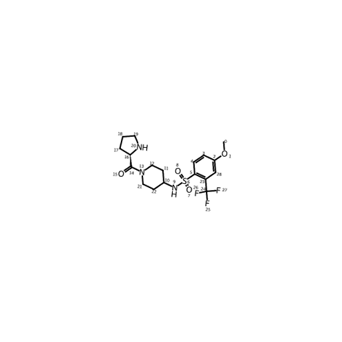 COc1ccc(S(=O)(=O)NC2CCN(C(=O)[C@H]3CCCN3)CC2)c(C(F)(F)F)c1